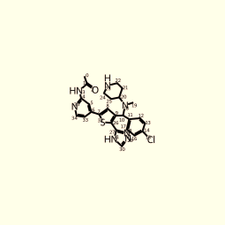 CC(=O)Nc1cc(-c2cc(C(c3ccc(Cl)cc3)N(C)C3CCNCC3)c(-c3nnc[nH]3)s2)ccn1